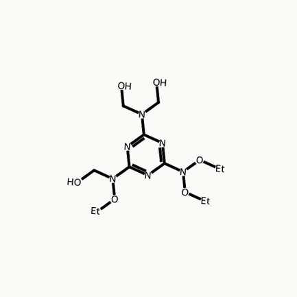 CCON(CO)c1nc(N(CO)CO)nc(N(OCC)OCC)n1